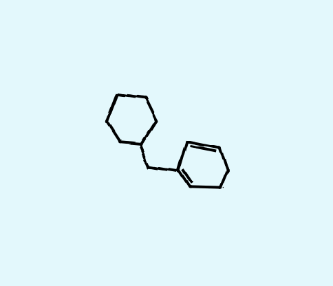 [CH]1C=C(CC2CCCCC2)C=CC1